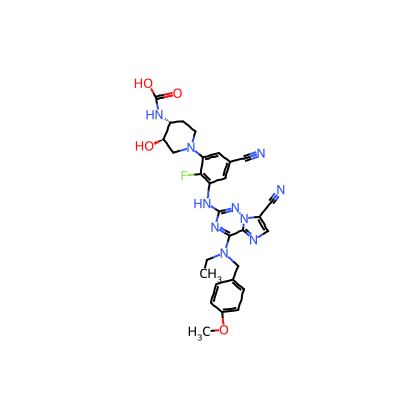 CCN(Cc1ccc(OC)cc1)c1nc(Nc2cc(C#N)cc(N3CC[C@@H](NC(=O)O)[C@H](O)C3)c2F)nn2c(C#N)cnc12